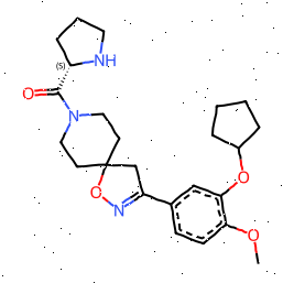 COc1ccc(C2=NOC3(CCN(C(=O)[C@@H]4CCCN4)CC3)C2)cc1OC1CCCC1